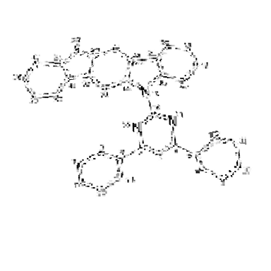 c1ccc(-c2cc(-c3ccccc3)nc(-n3c4ccccc4c4cc5sc6ccccc6c5cc43)n2)cc1